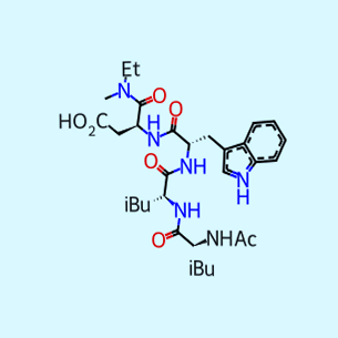 CC[C@H](C)[C@H](NC(C)=O)C(=O)N[C@H](C(=O)N[C@@H](Cc1c[nH]c2ccccc12)C(=O)N[C@@H](CC(=O)O)C(=O)N(C)CC)[C@@H](C)CC